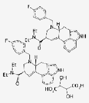 CCN(CC)C(=O)[C@@H]1C=C2c3cccc4[nH]cc(c34)C[C@H]2N(Cc2ccc(F)cc2)C1.CCN(CC)C(=O)[C@@H]1C=C2c3cccc4[nH]cc(c34)C[C@H]2N(Cc2ccc(F)cc2)C1.O=C(O)C(O)C(O)C(=O)O